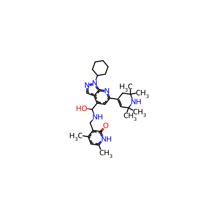 Cc1cc(C)c(CNC(O)c2cc(C3=CC(C)(C)NC(C)(C)C3)nc3c2cnn3C2CCCCC2)c(=O)[nH]1